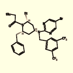 CC[C@@H]1C[C@H](N(Cc2cc(C(F)(F)F)cc(C(F)(F)F)c2)c2ncc(Br)cn2)C[C@H](Cc2ccccc2)N1C(=O)CC(C)(C)C